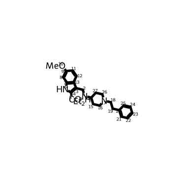 CCN(Cc1c(C(=O)O)[nH]c2cc(OC)ccc12)C1CCN(CCc2ccccc2)CC1